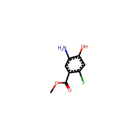 COC(=O)c1cc(N)c(O)cc1F